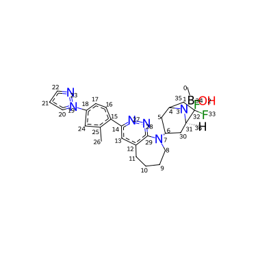 CB(O)N1C2C[C@@H](N3CCCCc4cc(-c5ccc(-n6cccn6)cc5C)nnc43)C[C@@H]1C(F)(F)C2